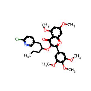 CCC[C](Cc1ccc(Cl)nc1)Oc1c(-c2cc(OC)c(OC)c(OC)c2)oc2cc(OC)cc(OC)c2c1=O